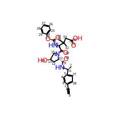 C#Cc1ccc([C@H](C)NC(=O)[C@@H]2C[C@@H](O)CN2C(=O)[C@@H](NC(=O)Oc2ccccc2)C(C)(C)CC(=O)O)cc1